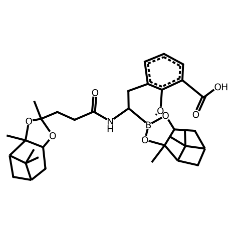 COc1c(CC(NC(=O)CCC2(C)OC3CC4CC(C4(C)C)C3(C)O2)B2OC3CC4CC(C4(C)C)C3(C)O2)cccc1C(=O)O